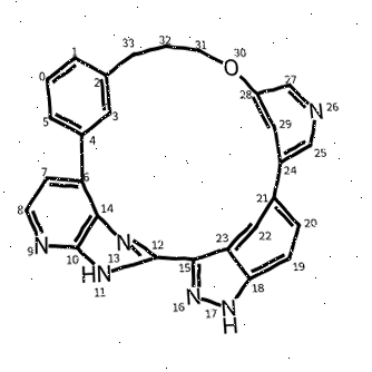 c1cc2cc(c1)-c1ccnc3[nH]c(nc13)-c1n[nH]c3ccc(cc13)-c1cncc(c1)OCCC2